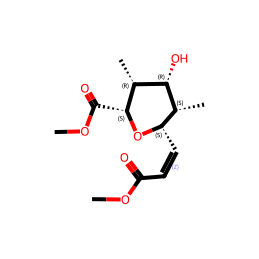 COC(=O)/C=C\[C@@H]1O[C@H](C(=O)OC)[C@H](C)[C@H](O)[C@@H]1C